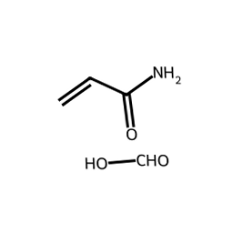 C=CC(N)=O.O=CO